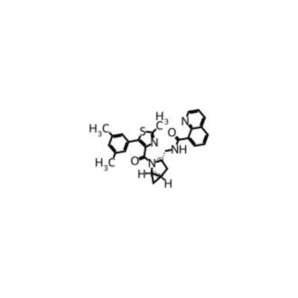 Cc1cc(C)cc(-c2sc(C)nc2C(=O)N2[C@H](CNC(=O)c3cccc4cccnc34)C[C@@H]3C[C@@H]32)c1